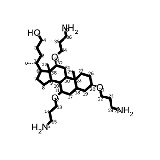 C[C@H](CCCO)C1CCC2C3C(OCCCN)CC4C[C@H](OCCCN)CCC4(C)C3C[C@H](OCCCN)C21C